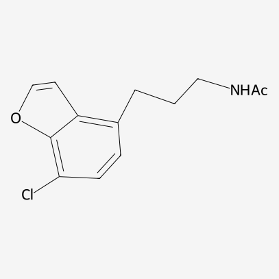 CC(=O)NCCCc1ccc(Cl)c2occc12